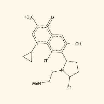 CCC1CCC(c2c(O)cc3c(=O)c(C(=O)O)cn(C4CC4)c3c2Cl)N1CCNC